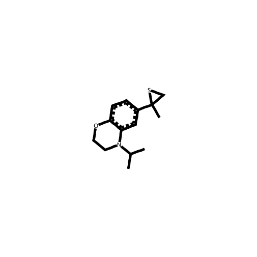 CC(C)N1CCOc2ccc(C3(C)CS3)cc21